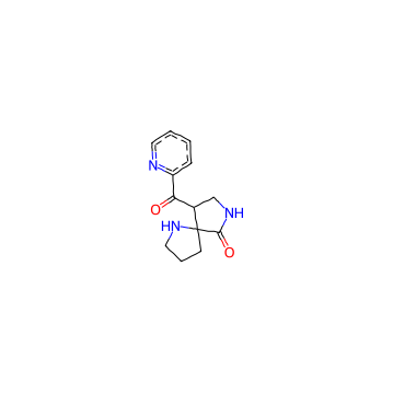 O=C(c1ccccn1)C1CNC(=O)C12CCCN2